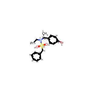 CC(C)CN([C@H](C)c1ccc(Br)cc1)S(=O)(=O)Cc1ccccc1